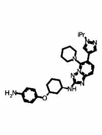 CC(C)n1cc(-c2ccc3nc(N[C@@H]4CCC[C@H](Oc5ccc(N)cc5)C4)nn3c2N2CCCCC2)cn1